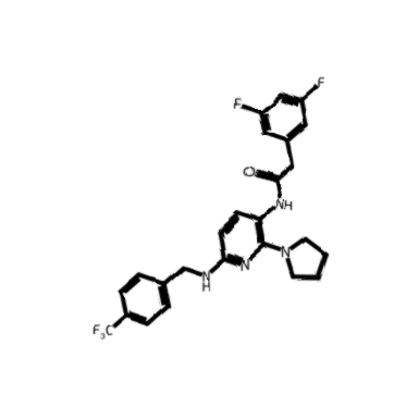 O=C(Cc1cc(F)cc(F)c1)Nc1ccc(NCc2ccc(C(F)(F)F)cc2)nc1N1CCCC1